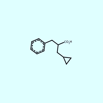 O=C(O)C(Cc1ccccc1)CC1CC1